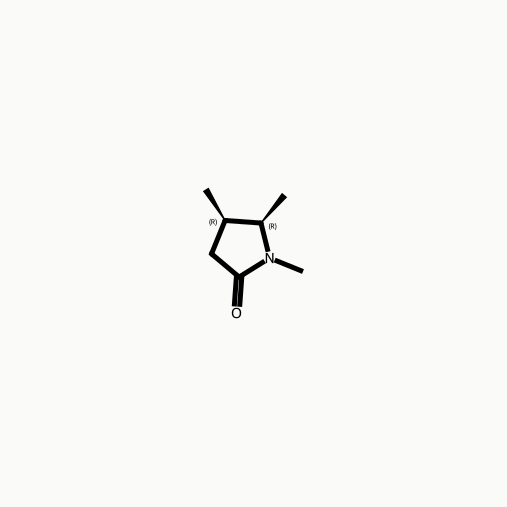 C[C@@H]1CC(=O)N(C)[C@@H]1C